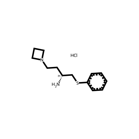 Cl.N[C@H](CCN1CCC1)CSc1ccccc1